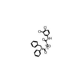 O=C(Nc1ccc(Cl)c(Cl)c1)[C@H]1O[C@@H]1C(=O)N(Cc1ccccc1)c1ccccc1